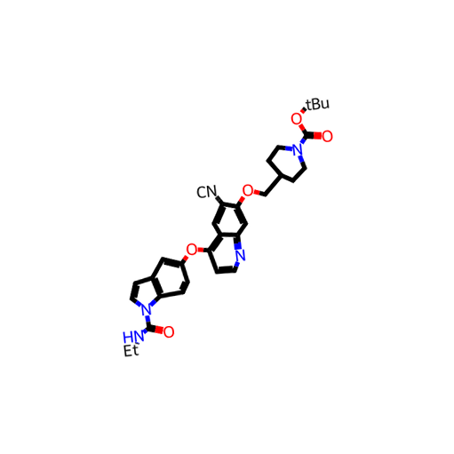 [C-]#[N+]c1cc2c(Oc3ccc4c(ccn4C(=O)NCC)c3)ccnc2cc1OCC1CCN(C(=O)OC(C)(C)C)CC1